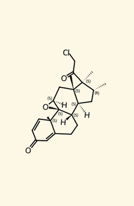 C[C@@H]1C[C@H]2[C@@H]3CCC4=CC(=O)C=C[C@]4(C)[C@@]34O[C@H]4C[C@]2(C)[C@@]1(C)C(=O)CCl